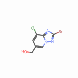 OCc1cc(Cl)c2nc(Br)nn2c1